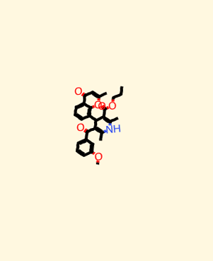 CCCOC(=O)C1=C(C)NC(C)=C(C(=O)c2cccc(OC)c2)C1c1cccc2c(=O)cc(C)oc12